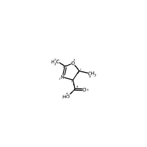 CC1=NC(C(=O)O)C(C)O1